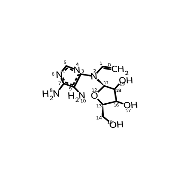 C=CN(c1ncnc(N)c1N)[C@@H]1O[C@H](CO)C(O)C1O